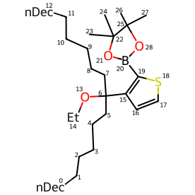 CCCCCCCCCCCCCCCC(CCCCCCCCCCCCCCC)(OCC)c1ccsc1B1OC(C)(C)C(C)(C)O1